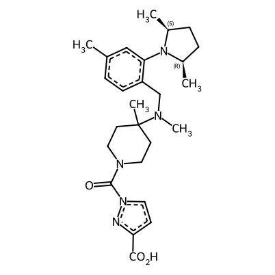 Cc1ccc(CN(C)C2(C)CCN(C(=O)n3ccc(C(=O)O)n3)CC2)c(N2[C@H](C)CC[C@@H]2C)c1